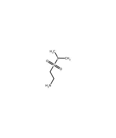 CN(C)S(=O)(=O)CCN